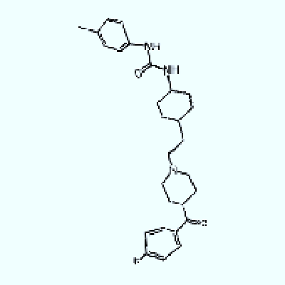 Cc1ccc(NC(=O)NC2CCC(CCN3CCC(C(=O)c4ccc(F)cc4)CC3)CC2)cc1